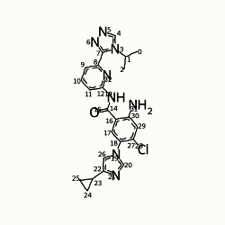 CC(C)n1cnnc1-c1cccc(NC(=O)c2cc(-n3cnc(C4CC4)c3)c(Cl)cc2N)n1